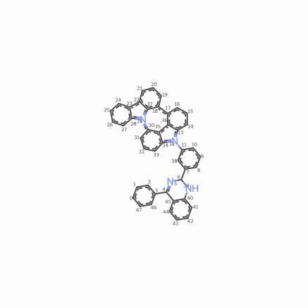 c1ccc(C2=NC(c3cccc(-n4c5cccc6c7cccc8c9ccccc9n(c9cccc4c9c65)c78)c3)Nc3ccccc32)cc1